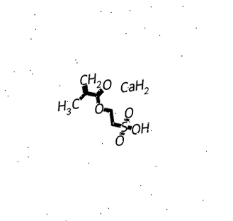 C=C(C)C(=O)OCCS(=O)(=O)O.[CaH2]